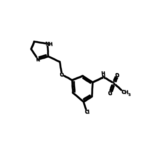 CS(=O)(=O)Nc1cc(Cl)cc(OCC2=NCCN2)c1